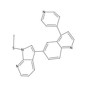 ISn1cc(-c2ccc3nccc(-c4ccncc4)c3c2)c2cccnc21